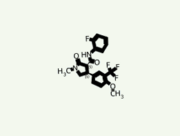 COc1ccc([C@H]2CN(C)C(=O)[C@@H]2C(=O)Nc2ccccc2F)cc1C(F)(F)F